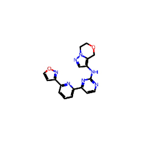 c1cc(-c2ccon2)nc(-c2ccnc(Nc3cnn4c3COCC4)n2)c1